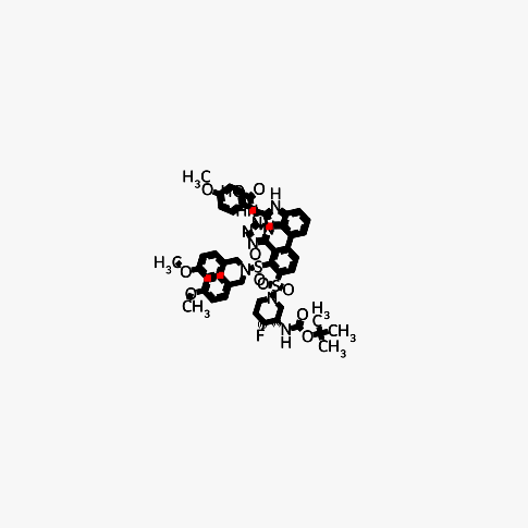 COc1ccc(CN(Cc2ccc(OC)cc2)S(=O)(=O)c2c(S(=O)(=O)N3CC[C@@H](F)[C@H](NC(=O)OC(C)(C)C)C3)ccc(-c3cccc4[nH]c(NC(=O)O)nc34)c2-c2nnn(Cc3ccc(OC)cc3)n2)cc1